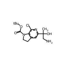 CC(C)(C)OC(=O)N1CCc2cc(C(C)(O)CN)nc(Cl)c21